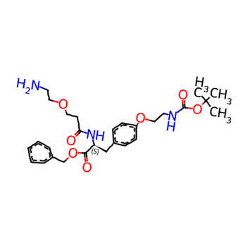 CC(C)(C)OC(=O)NCCOc1ccc(C[C@H](NC(=O)CCOCCN)C(=O)OCc2ccccc2)cc1